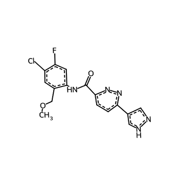 COCc1cc(Cl)c(F)cc1NC(=O)c1ccc(-c2cn[nH]c2)nn1